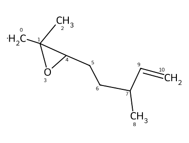 [CH2]C1(C)OC1CCC(C)C=C